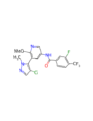 COc1ncc(NC(=O)c2ccc(C(F)(F)F)c(F)c2)cc1-c1c(Cl)cnn1C